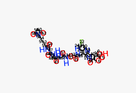 CC[C@@]1(O)C(=O)OCc2c1cc1n(c2=O)Cc2c-1nc1cc(F)c(C)cc1c2CNC(=O)COCNC(=O)CNC(=O)[C@H](C)NC(=O)CNC(=O)CCCCCN1C(=O)C=CC1=O